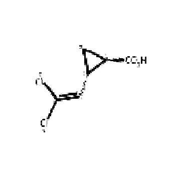 O=C(O)[C@@H]1C[C@H]1C=C(Cl)Cl